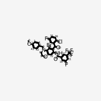 COc1ccc(CN2CCOc3cc(NC(=O)c4cc(F)cc(C(F)(F)F)c4)c(C(=O)c4cc(F)ccc4Cl)c(Br)c32)cc1